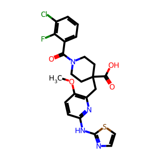 COc1ccc(Nc2nccs2)nc1CC1(C(=O)O)CCN(C(=O)c2cccc(Cl)c2F)CC1